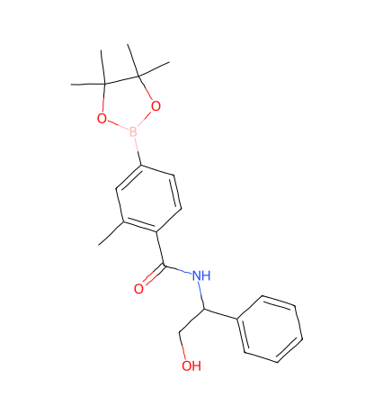 Cc1cc(B2OC(C)(C)C(C)(C)O2)ccc1C(=O)NC(CO)c1ccccc1